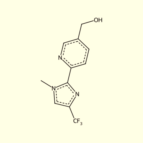 Cn1cc(C(F)(F)F)nc1-c1ccc(CO)cn1